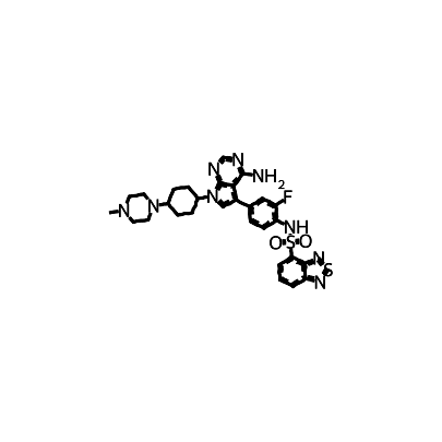 CN1CCN(C2CCC(n3cc(-c4ccc(NS(=O)(=O)c5cccc6nsnc56)c(F)c4)c4c(N)ncnc43)CC2)CC1